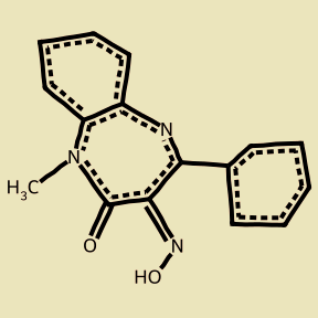 Cn1c(=O)c(=NO)c(-c2ccccc2)nc2ccccc21